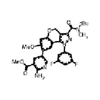 COC(=O)c1cc(-c2cc3c(cc2OC)OCc2c(C(=O)N(C)C(C)(C)C)nn(-c4cc(F)cc(F)c4)c2-3)cnc1N